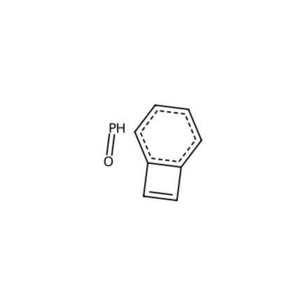 C1=Cc2ccccc21.O=P